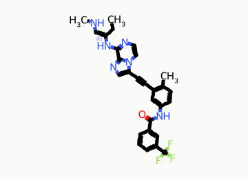 CC/C(=C\NC)Nc1nccn2c(C#Cc3cc(NC(=O)c4cccc(C(F)(F)F)c4)ccc3C)cnc12